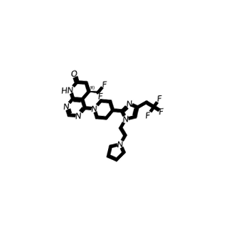 O=C1C[C@@H](C(F)F)c2c(ncnc2N2CCC(c3nc(CC(F)(F)F)cn3CCN3CCCC3)CC2)N1